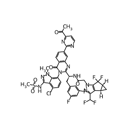 CC(=O)c1ccnc(-c2ccc3c(=O)n(-c4ccc(Cl)c5c(NS(C)(=O)=O)nn(C)c45)c([C@H](Cc4cc(F)cc(F)c4)NC(=O)Cn4nc(C(F)F)c5c4C(F)(F)[C@@H]4C[C@H]54)nc3c2)n1